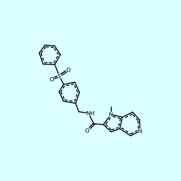 Cn1c(C(=O)NCc2ccc(S(=O)(=O)c3ccccc3)cc2)cc2cnccc21